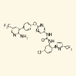 Nc1ncc(C(F)(F)F)cc1-c1ccc(Oc2ncc(NC(=O)Nc3cc(Cl)ccc3-n3ccc(C(F)(F)F)n3)cn2)cc1